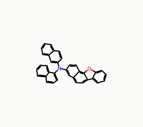 c1ccc2cc(N(c3ccc4c(ccc5c6ccccc6oc45)c3)c3cccc4ccccc34)ccc2c1